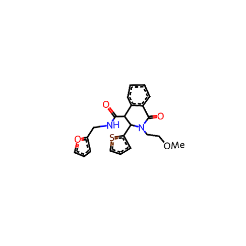 COCCN1C(=O)c2ccccc2C(C(=O)NCc2ccco2)C1c1cccs1